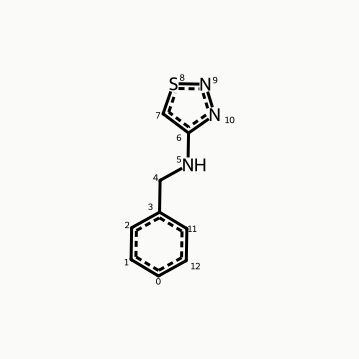 c1ccc(CNc2csnn2)cc1